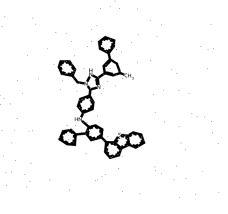 CC1C=C(C2=NC(c3ccc(Nc4ccc(-c5cccc6c5sc5ccccc56)cc4-c4ccccc4)cc3)N(Cc3ccccc3)N2)C=C(c2ccccc2)C1